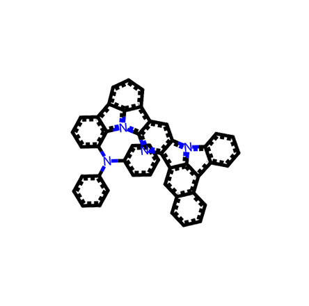 c1ccc(N(c2ccccc2)c2cccc3c4cccc5c6cc7c(nc6n(c23)c54)c2cc3ccccc3c3c4ccccc4n7c23)cc1